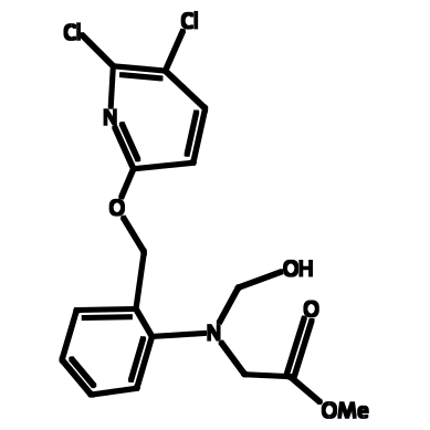 COC(=O)CN(CO)c1ccccc1COc1ccc(Cl)c(Cl)n1